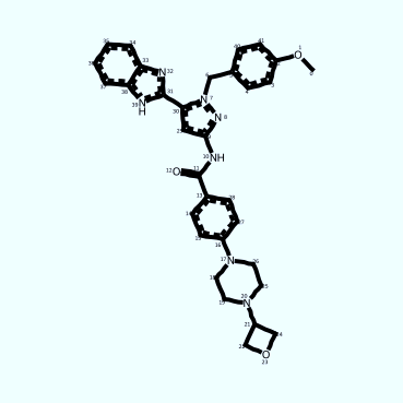 COc1ccc(Cn2nc(NC(=O)c3ccc(N4CCN(C5COC5)CC4)cc3)cc2-c2nc3ccccc3[nH]2)cc1